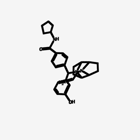 C=CCN1C2CCC1C1CCC2N1C(c1ccc(C(=O)NC2CCCC2)cc1)c1cccc(O)c1